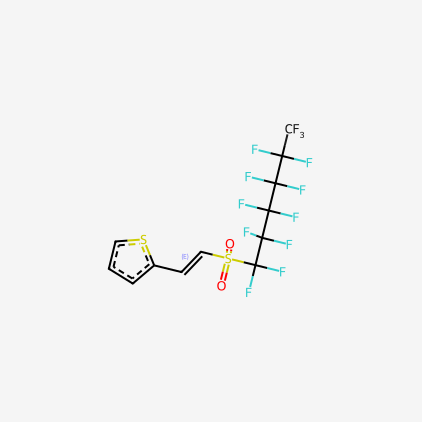 O=S(=O)(/C=C/c1cccs1)C(F)(F)C(F)(F)C(F)(F)C(F)(F)C(F)(F)C(F)(F)F